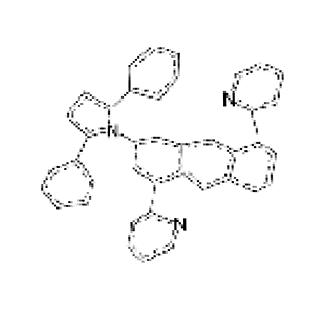 c1ccc(-c2ccc(-c3ccccc3)n2-c2cc(-c3ccccn3)c3cc4cccc(-c5ccccn5)c4cc3c2)cc1